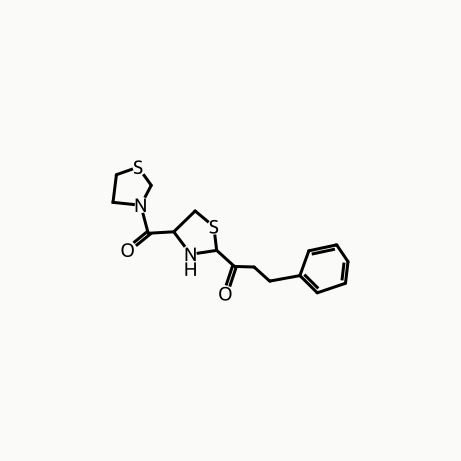 O=C(CCc1ccccc1)C1NC(C(=O)N2CCSC2)CS1